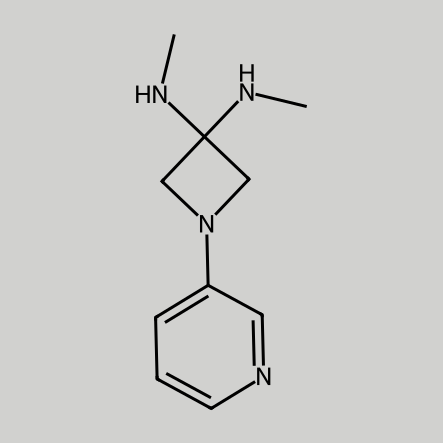 CNC1(NC)CN(c2cccnc2)C1